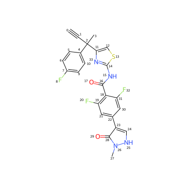 C#CC(C)(c1ccc(F)cc1)c1csc(NC(=O)c2c(F)cc(-c3c[nH]n(C)c3=O)cc2F)n1